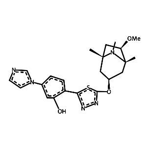 CO[C@@H]1C[C@@]2(C)C[C@H](Oc3nnc(-c4ccc(-n5ccnc5)cc4O)s3)C[C@]1(C)N2C